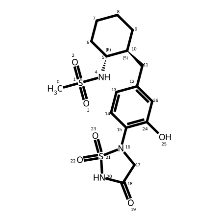 CS(=O)(=O)N[C@@H]1CCCC[C@H]1Cc1ccc(N2CC(=O)NS2(=O)=O)c(O)c1